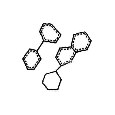 c1ccc(-c2ccccc2)cc1.c1ccc2nc(C3CCCCC3)ccc2c1